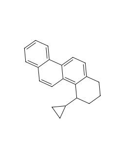 c1ccc2c(c1)ccc1c3c(ccc12)CCCC3C1CC1